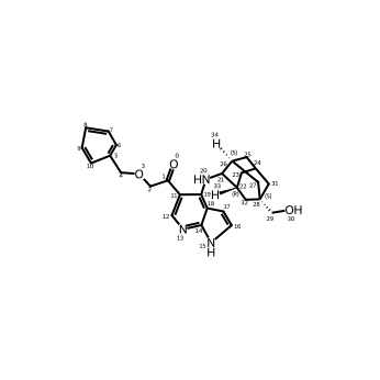 O=C(COCc1ccccc1)c1cnc2[nH]ccc2c1NC1[C@@H]2CC3C[C@H]1C[C@@](CO)(C3)C2